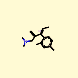 C=C(CN(C)C)/C(=C/C)c1ccc(C)cc1C